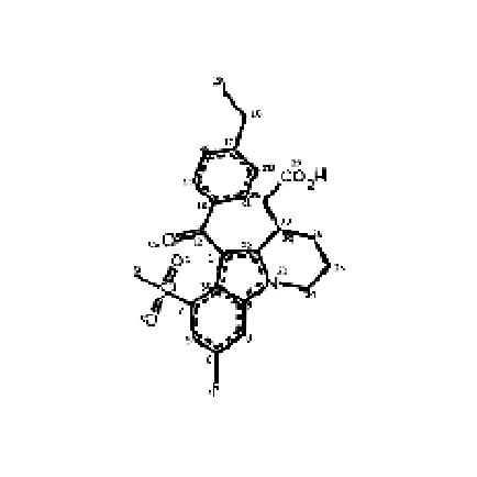 CS(=O)(=O)c1cc(F)cc2c1c(C(=O)c1ccc(CI)cc1)c1n2CCC[C@@H]1CC(=O)O